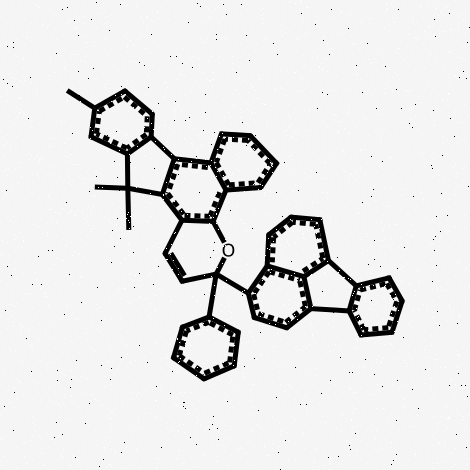 Cc1ccc2c(c1)C(C)(C)c1c3c(c4ccccc4c1-2)OC(c1ccccc1)(c1ccc2c4c(cccc14)-c1ccccc1-2)C=C3